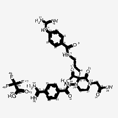 CC(=O)[C@@]1(CCCNC(=O)c2ccc(NC(=N)N)cc2)C(=O)N(CC(=O)O)CCN1NC(=O)c1ccc(C(=N)N)cc1.O=C(O)C(F)(F)F